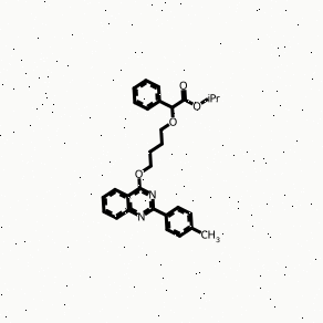 Cc1ccc(-c2nc(OCCCCOC(C(=O)OC(C)C)c3ccccc3)c3ccccc3n2)cc1